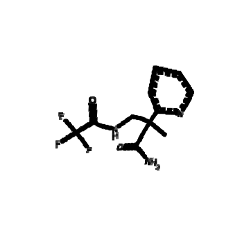 CC(CNC(=O)C(F)(F)F)(C(N)=O)c1ccccn1